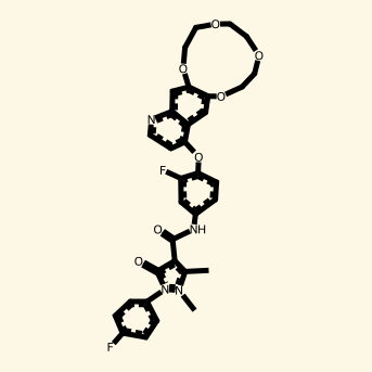 Cc1c(C(=O)Nc2ccc(Oc3ccnc4cc5c(cc34)OCCOCCOCCO5)c(F)c2)c(=O)n(-c2ccc(F)cc2)n1C